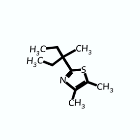 CCC(C)(CC)c1nc(C)c(C)s1